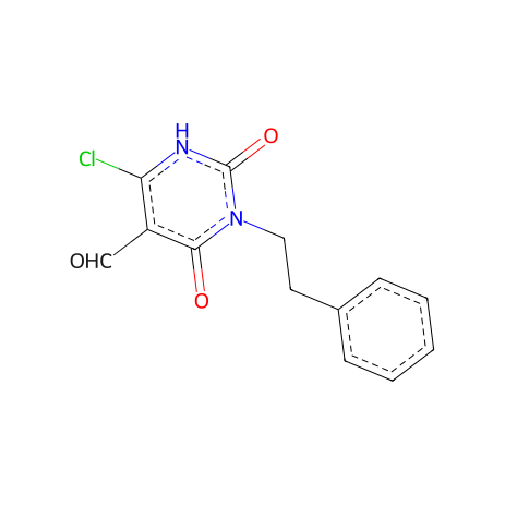 O=Cc1c(Cl)[nH]c(=O)n(CCc2ccccc2)c1=O